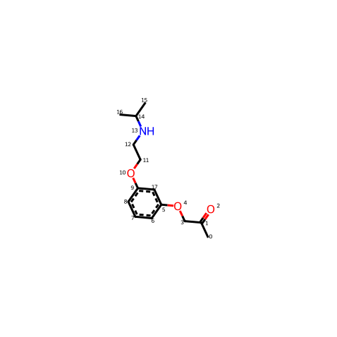 CC(=O)COc1cccc(OCCNC(C)C)c1